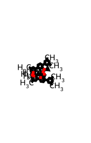 Cc1cc(C)cc(-c2ccc(-c3cc(C)cc(C)c3)c3c2C=C(CC2CC2)[CH]3[Zr]([Cl])([Cl])([CH]2C(CC3CC3)=Cc3c(-c4cc(C)cc(C)c4)ccc(-c4cc(C)cc(C)c4)c32)[SiH](C)C)c1